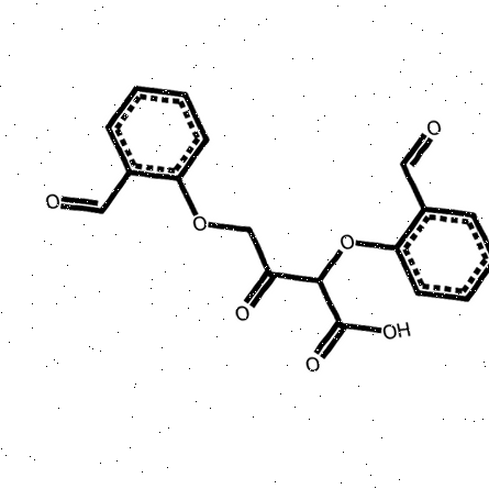 O=Cc1ccccc1OCC(=O)C(Oc1ccccc1C=O)C(=O)O